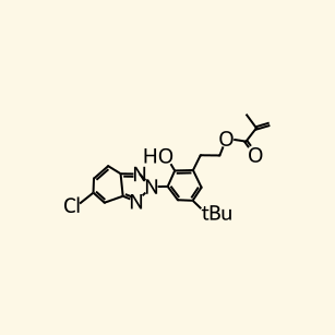 C=C(C)C(=O)OCCc1cc(C(C)(C)C)cc(-n2nc3ccc(Cl)cc3n2)c1O